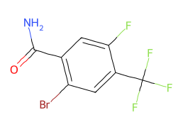 NC(=O)c1cc(F)c(C(F)(F)F)cc1Br